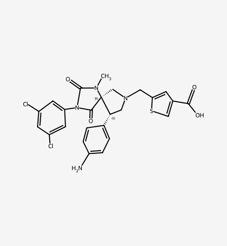 CN1C(=O)N(c2cc(Cl)cc(Cl)c2)C(=O)[C@@]12CN(Cc1cc(C(=O)O)cs1)C[C@@H]2c1ccc(N)cc1